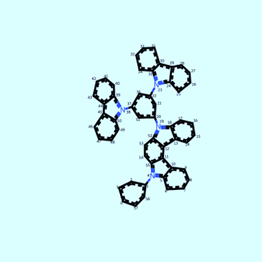 c1ccc(-n2c3ccccc3c3c4c5ccccc5n(-c5cc(-n6c7ccccc7c7ccccc76)cc(-n6c7ccccc7c7ccccc76)c5)c4ccc32)cc1